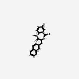 CN1C(=O)C(Cc2ccc3ccccc3c2)N=C(Cl)c2cc(Cl)ccc21